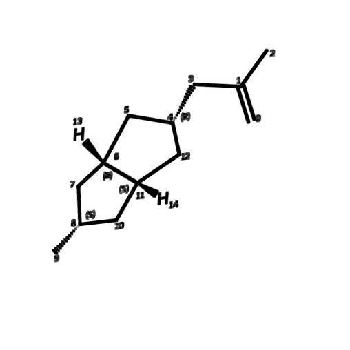 C=C(C)C[C@H]1C[C@H]2C[C@@H](C)C[C@H]2C1